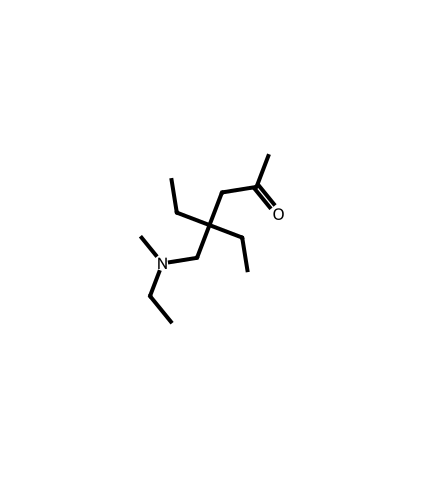 CCN(C)CC(CC)(CC)CC(C)=O